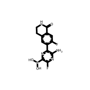 Nc1nc(F)c(B(O)O)nc1-c1cc2c(cc1F)C(=O)NCC2